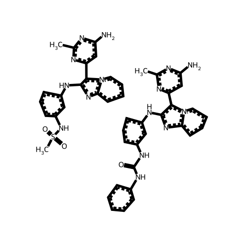 Cc1nc(N)cc(-c2c(Nc3cccc(NC(=O)Nc4ccccc4)c3)nc3ccccn23)n1.Cc1nc(N)cc(-c2c(Nc3cccc(NS(C)(=O)=O)c3)nc3ccccn23)n1